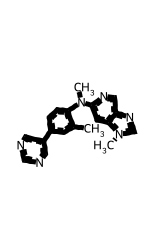 Cc1cc(-c2cncnc2)ccc1N(C)c1cc2c(cn1)ncn2C